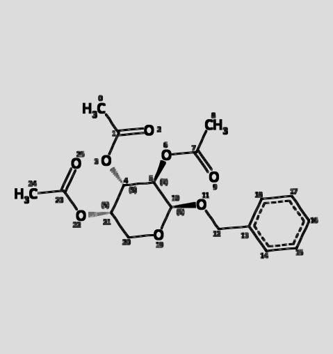 CC(=O)O[C@@H]1[C@@H](OC(C)=O)[C@@H](OCc2ccccc2)OC[C@@H]1OC(C)=O